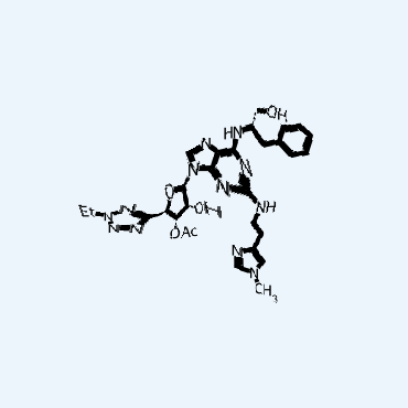 CCn1nnc([C@H]2O[C@@H](n3cnc4c(N[C@H](CO)Cc5ccccc5)nc(NCCc5cn(C)cn5)nc43)[C@H](O)[C@@H]2OC(C)=O)n1